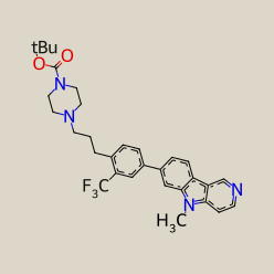 Cn1c2ccncc2c2ccc(-c3ccc(CCCN4CCN(C(=O)OC(C)(C)C)CC4)c(C(F)(F)F)c3)cc21